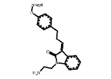 CCCCCCCOc1ccc(CCC=C2C(=O)N(CCN)c3ccccc32)cc1